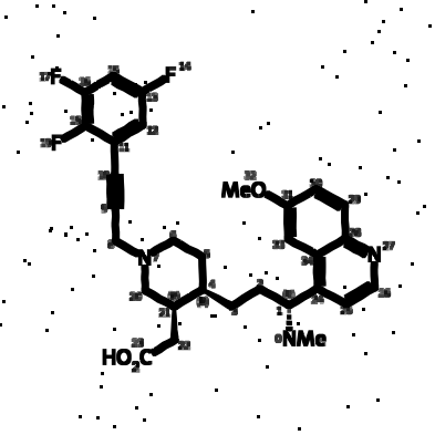 CN[C@H](CC[C@@H]1CCN(CC#Cc2cc(F)cc(F)c2F)C[C@@H]1CC(=O)O)c1ccnc2ccc(OC)cc12